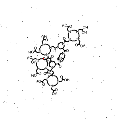 O=C(O)CN1CCN(CC(=O)O)CCN(CC(=O)N2CCN(C(=O)CN3CCN(CC(=O)O)CCN(CC(O)O)CCN(CC(=O)O)CC3)CC(C(=O)N3CC4CN(C(=O)C5CN(C(=O)CN6CCN(CC(=O)O)CCN(CC(=O)O)CCN(CC(=O)O)CC6)CCN(C(=O)CN6CCN(CC(=O)O)CCN(CC(=O)O)CCN(CC(O)O)CC6)C5)CC(C3)N4)C2)CCN(CC(=O)O)CC1